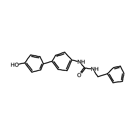 O=C(NCc1ccccc1)Nc1ccc(-c2ccc(O)cc2)cc1